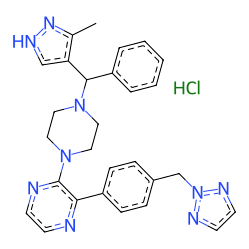 Cc1n[nH]cc1C(c1ccccc1)N1CCN(c2nccnc2-c2ccc(Cn3nccn3)cc2)CC1.Cl